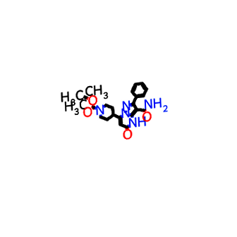 CC(C)(C)OC(=O)N1CCC(c2cc(=O)[nH]c3c(C(N)=O)c(-c4ccccc4)nn23)CC1